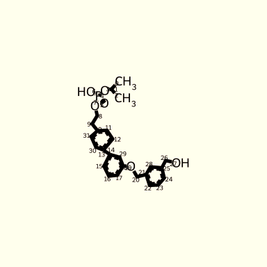 CC(C)OP(=O)(O)OCCc1ccc(-c2cccc(OCc3cccc(CO)c3)c2)cc1